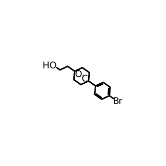 OCCC12CCC(c3ccc(Br)cc3)(CC1)CO2